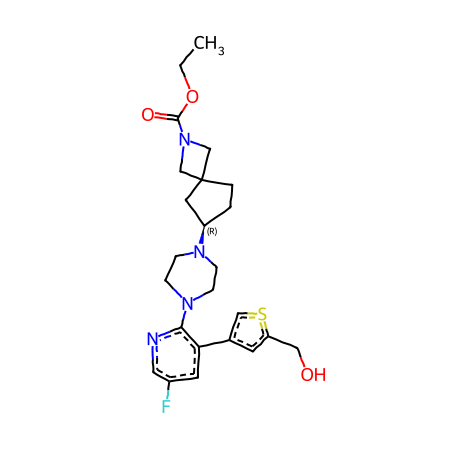 CCOC(=O)N1CC2(CC[C@@H](N3CCN(c4ncc(F)cc4-c4csc(CO)c4)CC3)C2)C1